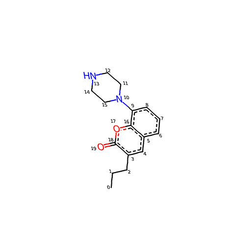 CCCc1cc2cccc(N3CCNCC3)c2oc1=O